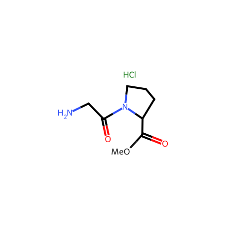 COC(=O)C1CCCN1C(=O)CN.Cl